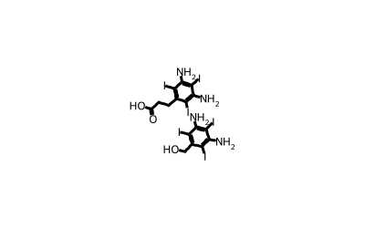 Nc1c(I)c(N)c(I)c(CCC(=O)O)c1I.Nc1c(I)c(N)c(I)c(CO)c1I